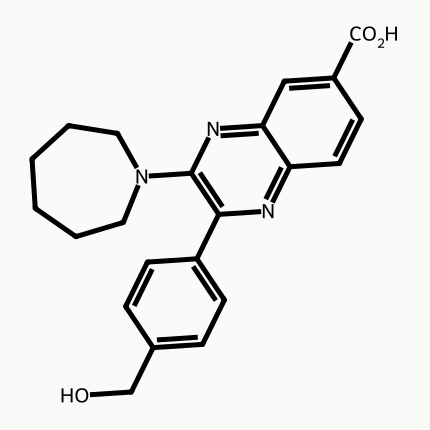 O=C(O)c1ccc2nc(-c3ccc(CO)cc3)c(N3CCCCCC3)nc2c1